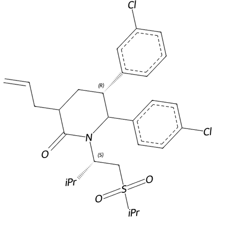 C=CCC1C[C@H](c2cccc(Cl)c2)C(c2ccc(Cl)cc2)N([C@H](CS(=O)(=O)C(C)C)C(C)C)C1=O